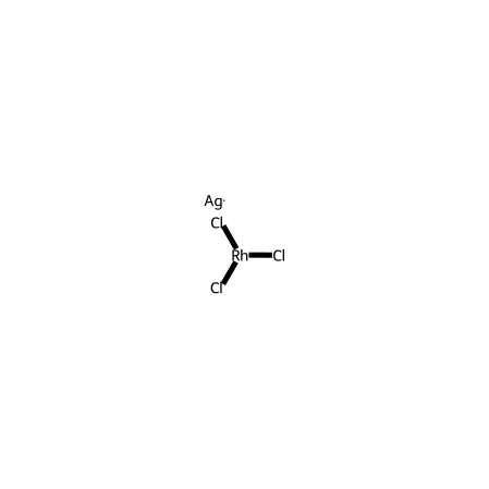 [Ag].[Cl][Rh]([Cl])[Cl]